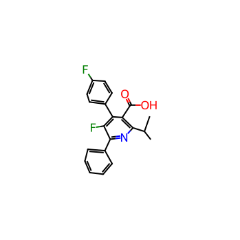 CC(C)c1nc(-c2ccccc2)c(F)c(-c2ccc(F)cc2)c1C(=O)O